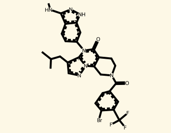 CNc1n[nH]c2cc(-n3c(=O)c4c(n5ncc(CC(C)C)c35)CN(C(=O)c3ccc(Br)c(C(F)(F)F)c3)CC4)ccc12